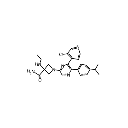 CCNC1(C(N)=O)CN(c2cnc(-c3ccc(C(C)C)cc3)c(-c3ccncc3Cl)n2)C1